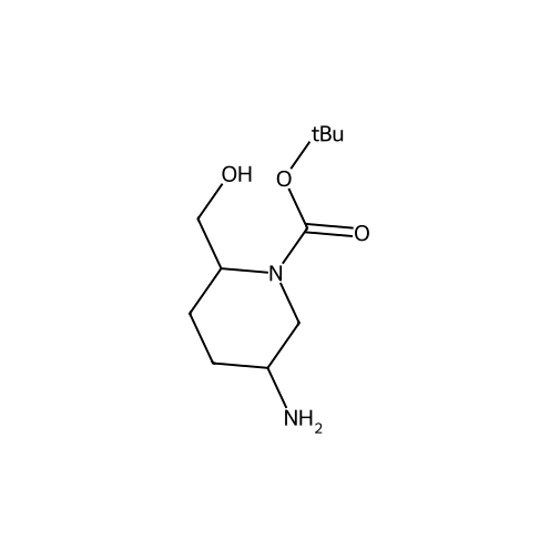 CC(C)(C)OC(=O)N1CC(N)CCC1CO